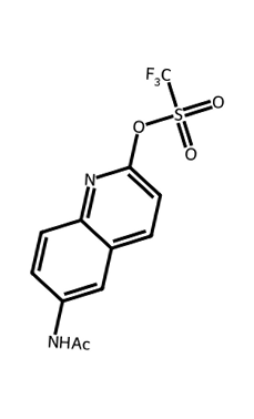 CC(=O)Nc1ccc2nc(OS(=O)(=O)C(F)(F)F)ccc2c1